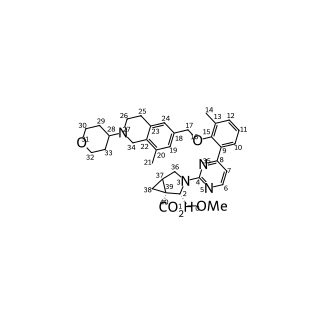 COC[C@H]1N(c2nccc(-c3cccc(C)c3OCc3cc(C)c4c(c3)CCN(C3CCOCC3)C4)n2)CC2C[C@@]21C(=O)O